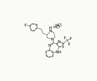 Cl.Cl.Fc1ccc(CCC2CN(C3=Nc4ccccc4Nc4sc(C(F)(F)F)nc43)CCN2)cc1